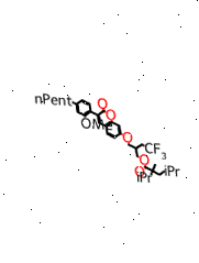 CCCCCc1ccc(-c2cc3ccc(OCC(COC(=O)C(C)(CC(C)C)C(C)C)CC(F)(F)F)cc3oc2=O)c(OC)c1